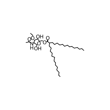 CCCCCCCCCCCCCCC(CCCCCCCCCCCCCC)C(=O)OCC1OC(O)C(NC(C)=O)[C@@H](OCC)[C@@H]1O